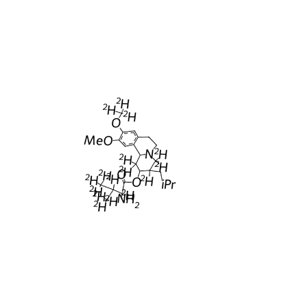 [2H]C([2H])([2H])Oc1cc2c(cc1OC)C1N(CC2)C([2H])([2H])C([2H])(CC(C)C)C(OC(=O)[C@@]([2H])(N)C([2H])(C([2H])([2H])[2H])C([2H])([2H])[2H])C1([2H])[2H]